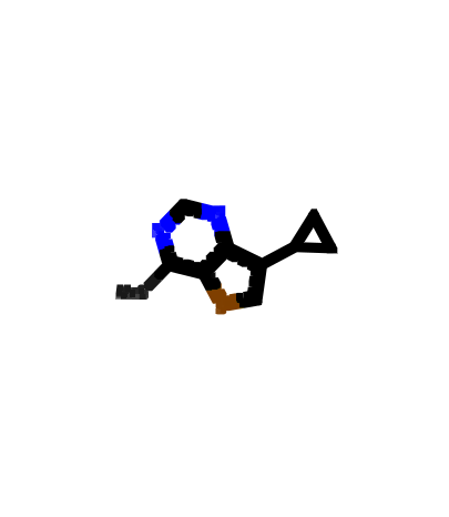 CSc1ncnc2c(C3CC3)csc12